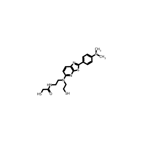 CN(C)c1ccc(-c2nc3ccc(N(CCS)CCNC(=O)CS)nc3s2)cc1